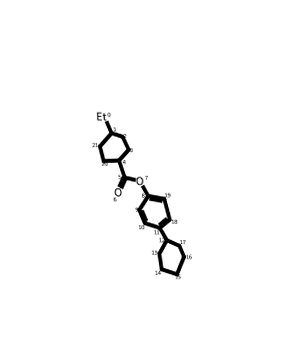 CCC1CCC(C(=O)Oc2ccc(C3CCCCC3)cc2)CC1